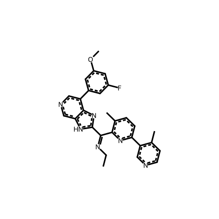 CC/N=C(/c1nc2c(-c3cc(F)cc(OC)c3)cncc2[nH]1)c1nc(-c2cnccc2C)ccc1C